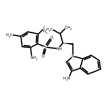 Cc1cc(C)c(S(=O)(=O)N[C@H](Cn2cc(N)c3ccccc32)C(C)C)c(N)c1